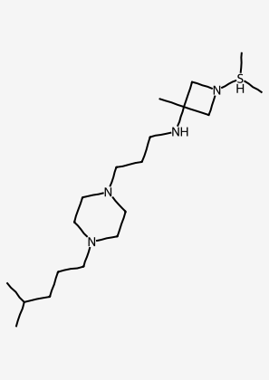 CC(C)CCCN1CCN(CCCNC2(C)CN([SH](C)C)C2)CC1